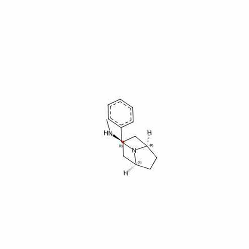 CN[C@H]1C[C@H]2CC[C@@H](C1)N2Cc1ccccc1